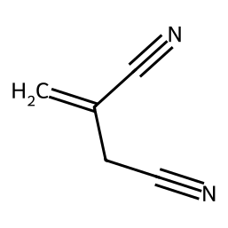 C=C(C#N)CC#N